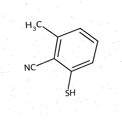 Cc1cccc(S)c1C#N